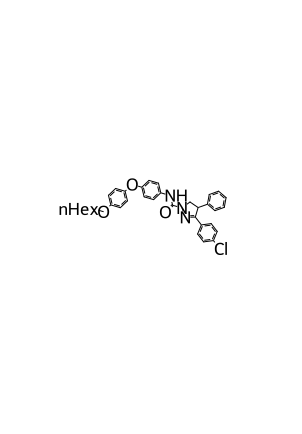 CCCCCCOc1ccc(Oc2ccc(NC(=O)N3CC(c4ccccc4)C(c4ccc(Cl)cc4)=N3)cc2)cc1